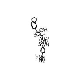 C/C(=N\NC(=S)Nc1ccc(-c2nnn[nH]2)cc1)c1csc(-c2ccc3c(c2)CCCC3)c1O